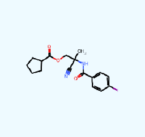 CC(C#N)(COC(=O)C1CCCC1)NC(=O)c1ccc(I)cc1